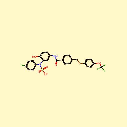 O=C(Nc1ccc(O)c(N(c2ccc(F)cc2)S(=O)(=O)O)c1)c1ccc(CSc2ccc(OC(F)(F)F)cc2)cc1